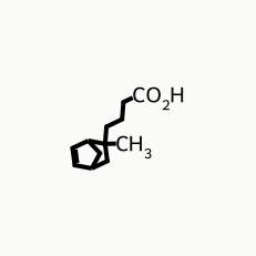 CC1(CCCC(=O)O)CC2C=CC1C2